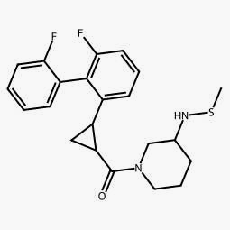 CSNC1CCCN(C(=O)C2CC2c2cccc(F)c2-c2ccccc2F)C1